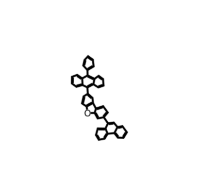 c1ccc(-c2c3ccccc3c(-c3ccc4oc5cc(-c6cc7ccccc7c7ccccc67)ccc5c4c3)c3ccccc23)cc1